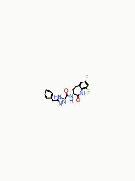 O=C(NC1CCc2cc(F)cc(F)c2NC1=O)c1nnc(Cc2ccccc2)[nH]1